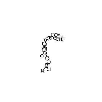 CC(C)(C)OC(=O)N1CCC(OC2CCN(c3ccc4c(n3)CN([C@H]3CC[C@H](Oc5ccc(C#N)c(Cl)c5)CC3)C4=O)CC2)CC1